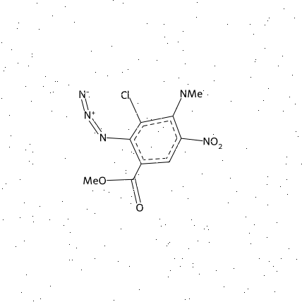 CNc1c([N+](=O)[O-])cc(C(=O)OC)c(N=[N+]=[N-])c1Cl